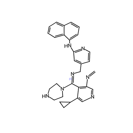 C=Nc1cncc(C2CC2)c1/C(=N\Cc1ccnc(Nc2cccc3ccccc23)c1)N1CCNCC1